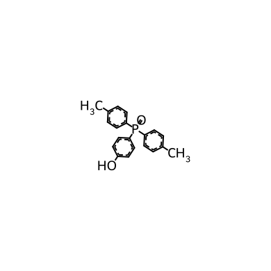 Cc1ccc(P(=O)(c2ccc(C)cc2)c2ccc(O)cc2)cc1